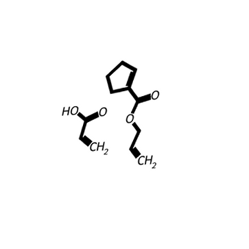 C=CC(=O)O.C=CCOC(=O)C1=CCCC1